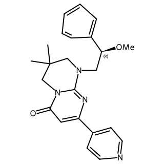 CO[C@@H](CN1CC(C)(C)Cn2c1nc(-c1ccncc1)cc2=O)c1ccccc1